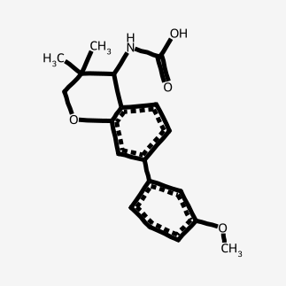 COc1cccc(-c2ccc3c(c2)OCC(C)(C)C3NC(=O)O)c1